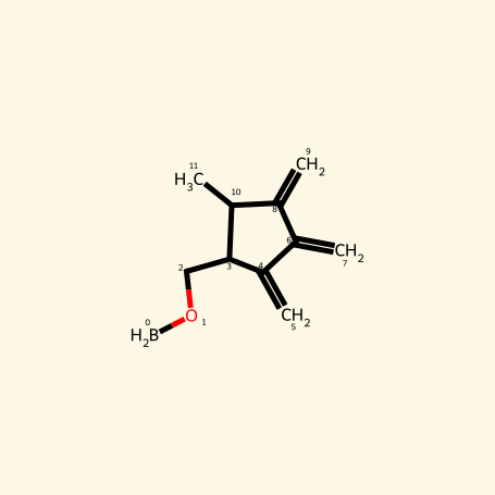 BOCC1C(=C)C(=C)C(=C)C1C